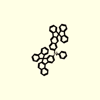 c1ccc(N(c2ccc3c(c2)C2(c4ccccc4-c4ccccc42)c2ccc4ccccc4c2-3)c2ccc3cc4c(cc3c2)C2(c3ccccc3-c3ccccc32)c2ccccc2-4)cc1